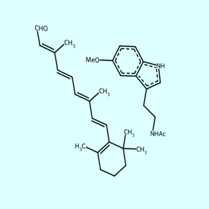 CC1=C(/C=C/C(C)=C/C=C/C(C)=C/C=O)C(C)(C)CCC1.COc1ccc2[nH]cc(CCNC(C)=O)c2c1